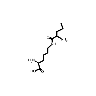 CCCC(N)C(=O)NCCCC[C@H](N)C(=O)O